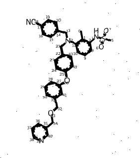 Cc1c(NS(C)(=O)=O)cccc1N(Cc1ccc(C#N)cc1)Cc1ccc(Oc2cccc(COCc3cccnc3)c2)cc1